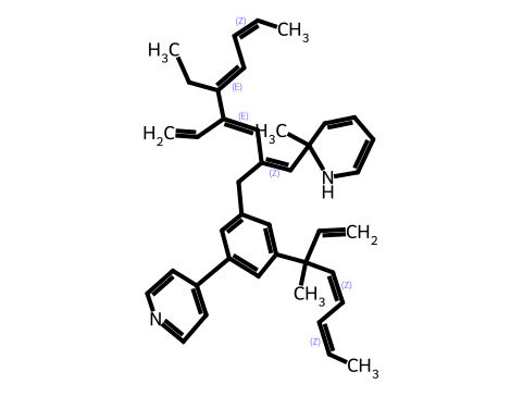 C=CC(=C\C(=C/C1(C)C=CC=CN1)Cc1cc(-c2ccncc2)cc(C(C)(C=C)/C=C\C=C/C)c1)/C(=C/C=C\C)CC